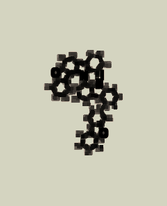 B1c2cccc(-c3ccc4c(c3)oc3ccccc34)c2-c2cccc(-n3c4c(c5ccc6oc7ccccc7c6c53)CCC=C4)c21